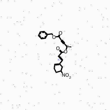 C[C@H](C#CC(=O)OCc1ccccc1)OC(=O)/C=C/C1=CCCC([N+](=O)[O-])C1